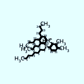 CCCCCCCCP(c1ccc(C)c(C)c1C)c1ccc(CCCC)c(CCCC)c1CCCC